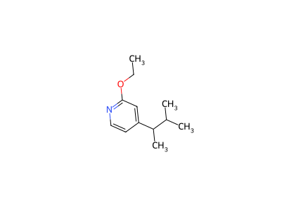 CCOc1cc(C(C)C(C)C)ccn1